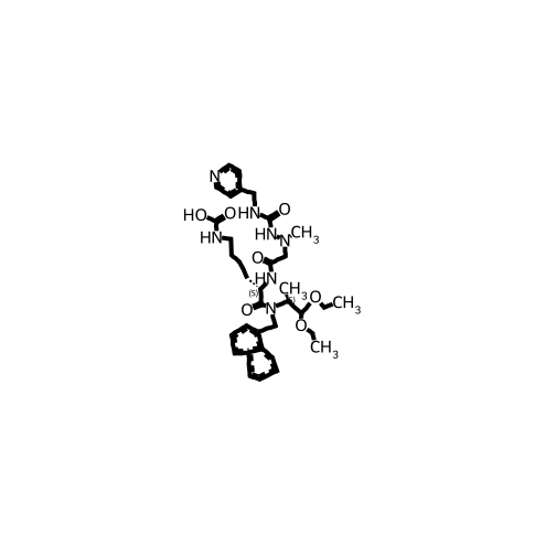 CCOC(OCC)[C@H](C)N(Cc1cccc2ccccc12)C(=O)[C@H](CCCCNC(=O)O)NC(=O)CN(C)NC(=O)NCc1ccncc1